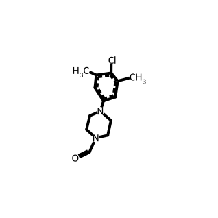 Cc1cc(N2CCN(C=O)CC2)cc(C)c1Cl